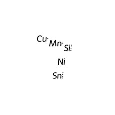 [Cu].[Mn].[Ni].[Si].[Sn]